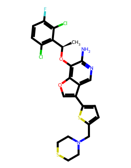 C[C@@H](Oc1c(N)ncc2c(-c3ccc(CN4CCSCC4)s3)coc12)c1c(Cl)ccc(F)c1Cl